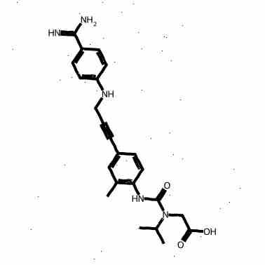 Cc1cc(C#CCNc2ccc(C(=N)N)cc2)ccc1NC(=O)N(CC(=O)O)C(C)C